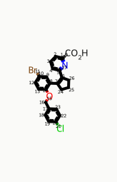 O=C(O)c1cccc(C2=C(c3cc(Br)ccc3OCc3ccc(Cl)cc3)CCC2)n1